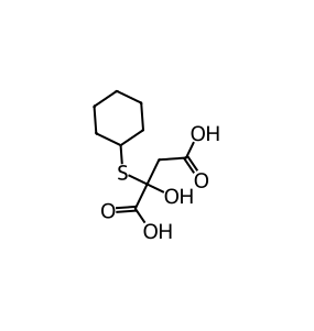 O=C(O)CC(O)(SC1CCCCC1)C(=O)O